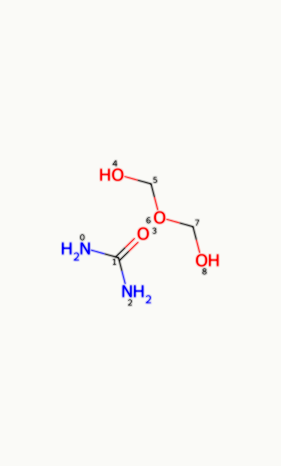 NC(N)=O.OCOCO